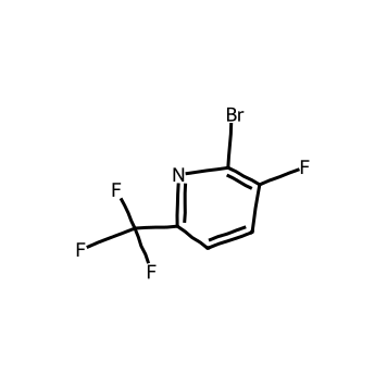 Fc1ccc(C(F)(F)F)nc1Br